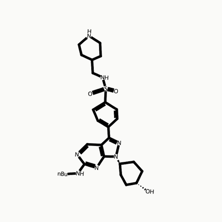 CCCCNc1ncc2c(-c3ccc(S(=O)(=O)NCC4CCNCC4)cc3)nn([C@H]3CC[C@@H](O)CC3)c2n1